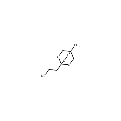 CC12COC(CCC#N)(OC1)OC2